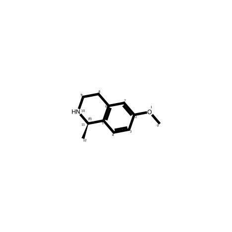 COc1ccc2c(c1)CCN[C@@H]2C